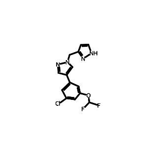 FC(F)Oc1cc(Cl)cc(-c2cnn(Cc3cc[nH]n3)c2)c1